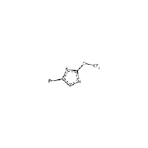 CC(C)c1cnc(OC(F)(F)F)s1